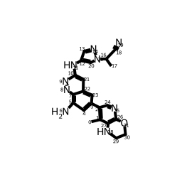 Cc1c(-c2cc(N)c3nnc(Nc4cnn(C(C)C#N)c4)cc3c2)cnc2c1NCCO2